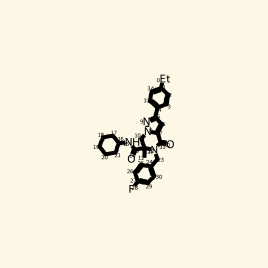 CCc1ccc(-c2cc3n(n2)CC(C)(C(=O)NC2CCCCC2)N(Cc2ccc(F)cc2)C3=O)cc1